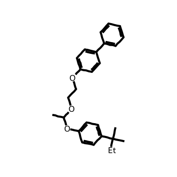 CCC(C)(C)c1ccc(OC(C)OCCOc2ccc(-c3ccccc3)cc2)cc1